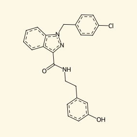 O=C(NCCc1cccc(O)c1)c1nn(Cc2ccc(Cl)cc2)c2ccccc12